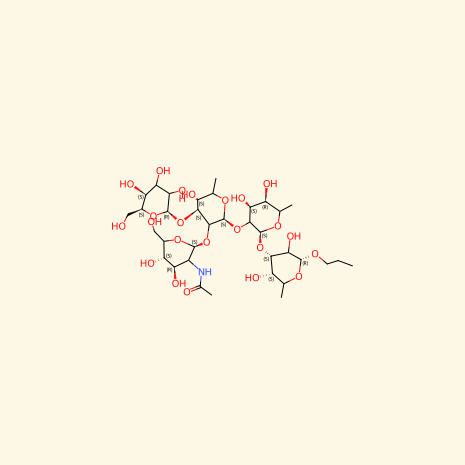 CCCO[C@@H]1OC(C)[C@H](O)[C@H](O[C@@H]2OC(C)[C@H](O)[C@H](O)C2O[C@@H]2OC(C)[C@H](O)[C@H](O[C@H]3O[C@@H](CO)[C@@H](O)C(O)C3O)C2O[C@@H]2OC(CO)[C@@H](O)[C@H](O)C2NC(C)=O)C1O